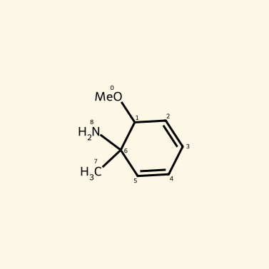 COC1C=CC=CC1(C)N